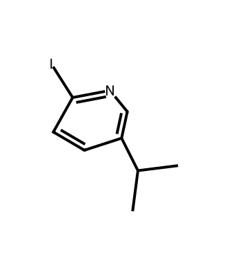 CC(C)c1ccc(I)nc1